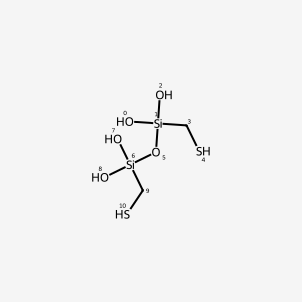 O[Si](O)(CS)O[Si](O)(O)CS